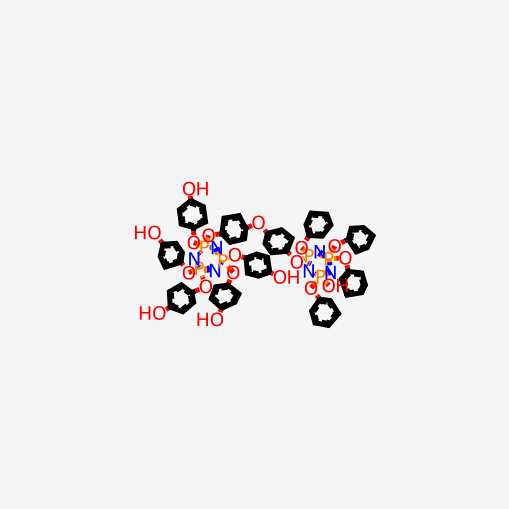 Oc1ccc(OP2(Oc3ccc(O)cc3)=NP(Oc3ccc(O)cc3)(Oc3ccc(O)cc3)=NP(Oc3ccc(O)cc3)(Oc3ccc(Oc4ccc(OP5(Oc6ccccc6)=NP(O)(Oc6ccccc6)=NP(Oc6ccccc6)(Oc6ccccc6)=N5)cc4)cc3)=N2)cc1